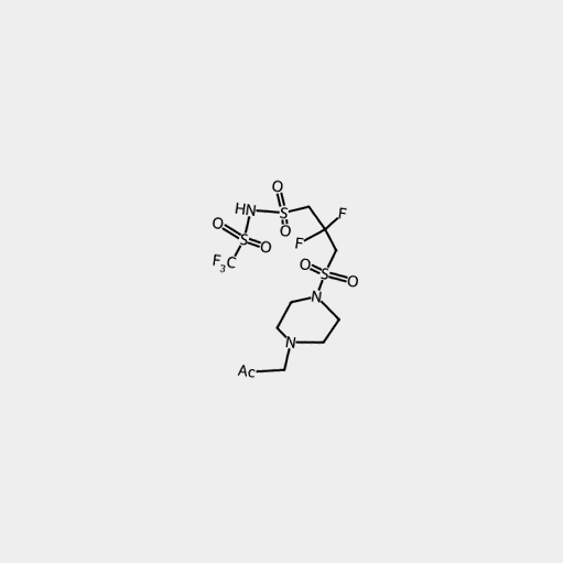 CC(=O)CN1CCN(S(=O)(=O)CC(F)(F)CS(=O)(=O)NS(=O)(=O)C(F)(F)F)CC1